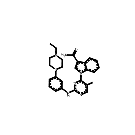 CCN1CCN(c2cccc(Nc3ncc(F)c(-n4cc(C(N)=O)c5ccccc54)n3)c2)CC1